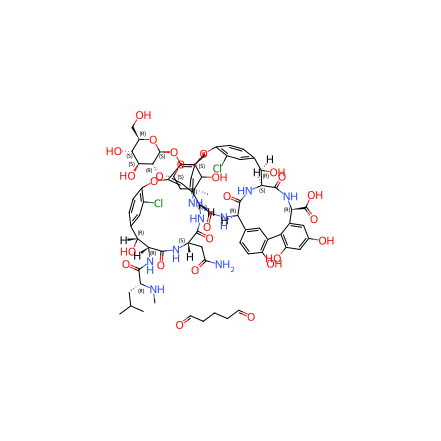 CN[C@H](CC(C)C)C(=O)N[C@H]1C(=O)N[C@@H](CC(N)=O)C(=O)N[C@H]2C(=O)N[C@H]3C(=O)N[C@H](C(=O)N[C@@H](C(=O)O)c4cc(O)cc(O)c4-c4cc3ccc4O)[C@H](O)c3ccc(c(Cl)c3)Oc3cc2cc(c3O[C@@H]2O[C@H](CO)[C@@H](O)[C@H](O)[C@H]2O[C@H]2C[C@](C)(N)C(O)[C@H](C)O2)Oc2ccc(cc2Cl)[C@H]1O.O=CCCCC=O